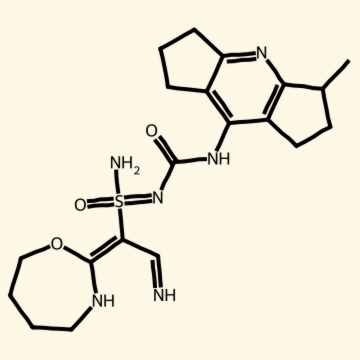 CC1CCc2c1nc1c(c2NC(=O)N=S(N)(=O)/C(C=N)=C2/NCCCCO2)CCC1